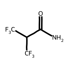 NC(=O)C(C(F)(F)F)C(F)(F)F